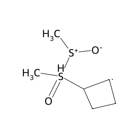 C[S+]([O-])[SH](C)(=O)C1[CH]CC1